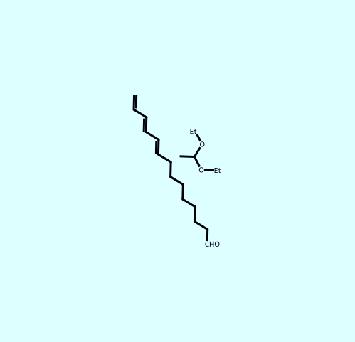 C=C/C=C/C=C/CCCCCCCC=O.CCOC(C)OCC